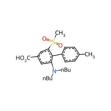 CCCCN(CCCC)c1cc(C(=O)O)cc(S(C)(=O)=O)c1-c1ccc(C)cc1